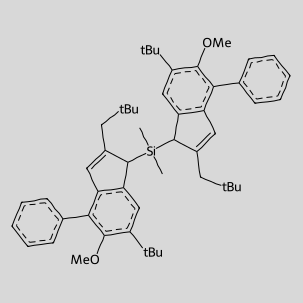 COc1c(C(C)(C)C)cc2c(c1-c1ccccc1)C=C(CC(C)(C)C)C2[Si](C)(C)C1C(CC(C)(C)C)=Cc2c1cc(C(C)(C)C)c(OC)c2-c1ccccc1